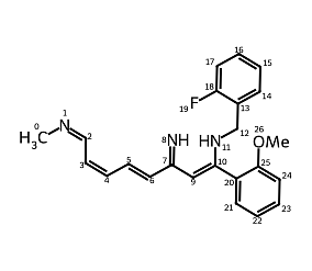 C\N=C/C=C\C=C\C(=N)/C=C(\NCc1ccccc1F)c1ccccc1OC